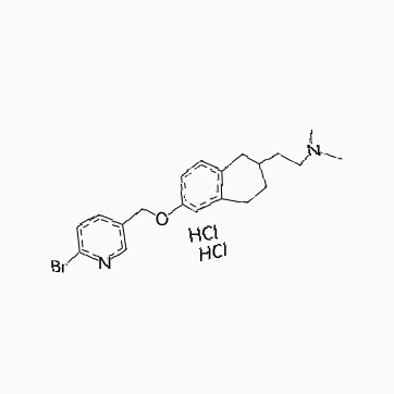 CN(C)CCC1CCc2cc(OCc3ccc(Br)nc3)ccc2C1.Cl.Cl